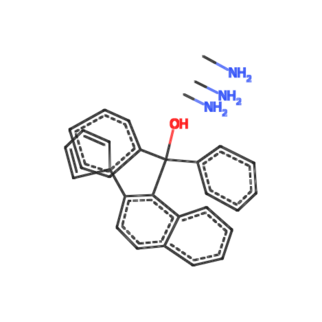 CN.CN.CN.OC(c1ccccc1)(c1ccccc1)c1c(C2C=CC=C2)ccc2ccccc12